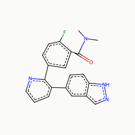 CN(C)C(=O)c1cc(-c2ncccc2-c2ccc3[nH]ncc3c2)ccc1F